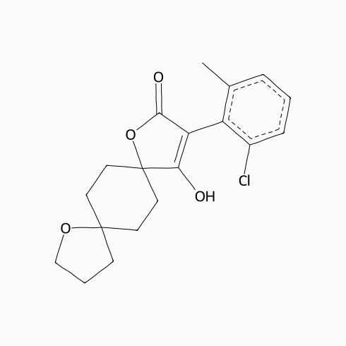 Cc1cccc(Cl)c1C1=C(O)C2(CCC3(CCCO3)CC2)OC1=O